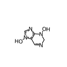 ON1CN=Cc2c1ncn2O